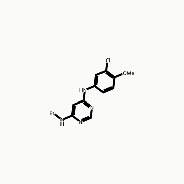 CCNc1cc(Nc2ccc(OC)c(Cl)c2)ncn1